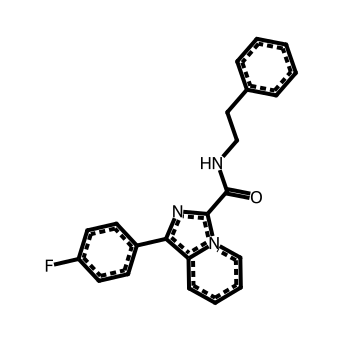 O=C(NCCc1ccccc1)c1nc(-c2ccc(F)cc2)c2ccccn12